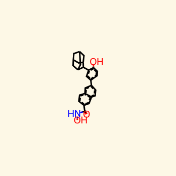 O=C(NO)c1ccc2cc(-c3ccc(O)c(C4C5CC6CC(C5)CC4C6)c3)ccc2c1